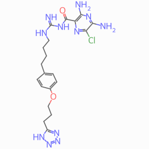 N=C(NCCCCc1ccc(OCCCc2nnn[nH]2)cc1)NC(=O)c1nc(Cl)c(N)nc1N